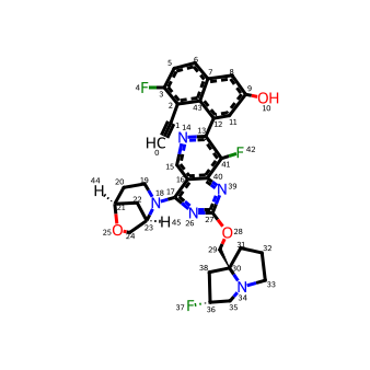 C#Cc1c(F)ccc2cc(O)cc(-c3ncc4c(N5CC[C@H]6C[C@@H]5CO6)nc(OC[C@@]56CCCN5C[C@H](F)C6)nc4c3F)c12